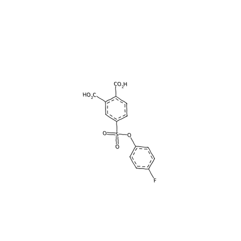 O=C(O)c1ccc(S(=O)(=O)Oc2ccc(F)cc2)cc1C(=O)O